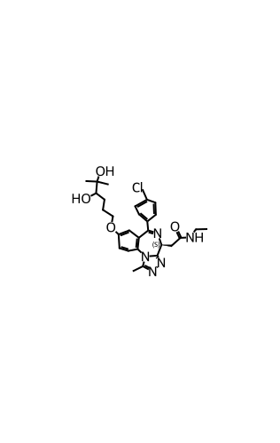 CCNC(=O)C[C@@H]1N=C(c2ccc(Cl)cc2)c2cc(OCCCC(O)C(C)(C)O)ccc2-n2c(C)nnc21